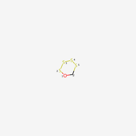 [CH]1OSSSS1